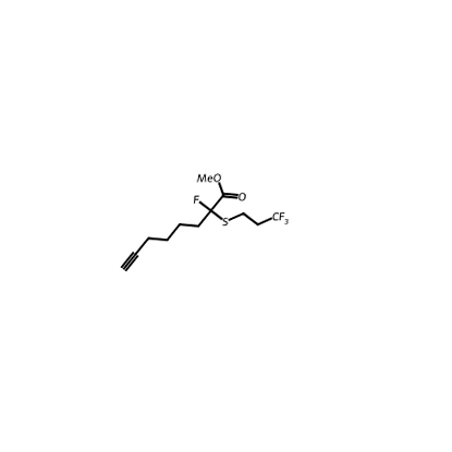 C#CCCCCC(F)(SCCC(F)(F)F)C(=O)OC